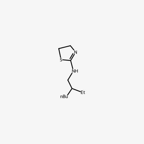 CCCCC(CC)CNC1=NCCS1